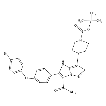 CC(C)(C)OC(=O)N1CCC(c2cnn3c(C(N)=O)c(-c4ccc(Oc5ccc(Br)cc5)cc4)[nH]c23)CC1